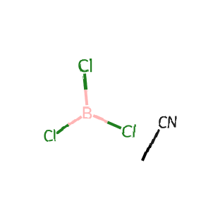 CC#N.ClB(Cl)Cl